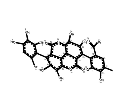 CC(=O)c1cc(O)c(O)c(O)c1-c1c(O)c(O)c2oc(=O)c3c(-c4c(C(=O)C(C)C)cc(O)c(O)c4O)c(O)c(O)c4oc(=O)c1c2c43